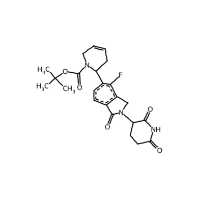 CC(C)(C)OC(=O)N1CC=CCC1c1ccc2c(c1F)CN(C1CCC(=O)NC1=O)C2=O